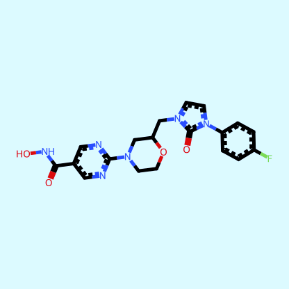 O=C(NO)c1cnc(N2CCOC(Cn3ccn(-c4ccc(F)cc4)c3=O)C2)nc1